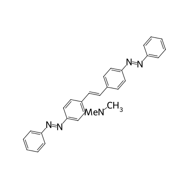 C(=Cc1ccc(N=Nc2ccccc2)cc1)c1ccc(N=Nc2ccccc2)cc1.CNC